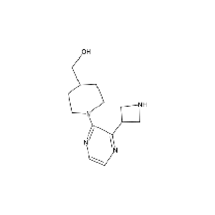 OCC1CCN(c2nccnc2C2CNC2)CC1